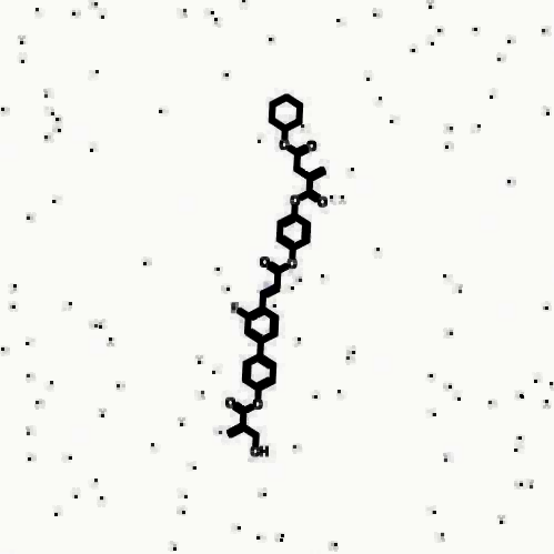 C=C(CO)C(=O)Oc1ccc(-c2ccc(/C=C/C(=O)Oc3ccc(OC(=O)C(=C)CC(=O)OC4CCCCC4)cc3)c(F)c2)cc1